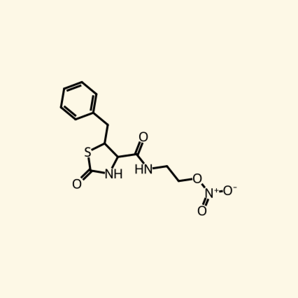 O=C1NC(C(=O)NCCO[N+](=O)[O-])C(Cc2ccccc2)S1